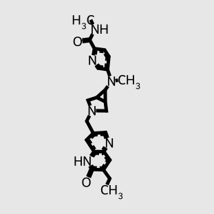 CCc1cc2ncc(CN3CC4C(C3)C4N(C)c3ccc(C(=O)NC)nc3)cc2[nH]c1=O